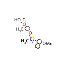 COc1ccc(-c2nc(C)c(COc3ccc(OCC(=O)O)c(C)c3)s2)c2ccccc12